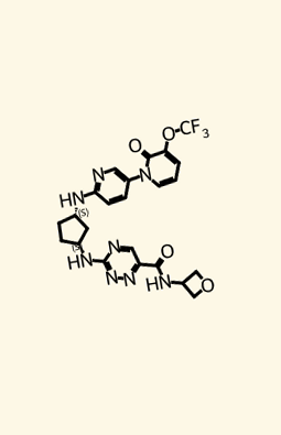 O=C(NC1COC1)c1cnc(N[C@H]2CC[C@H](Nc3ccc(-n4cccc(OC(F)(F)F)c4=O)cn3)C2)nn1